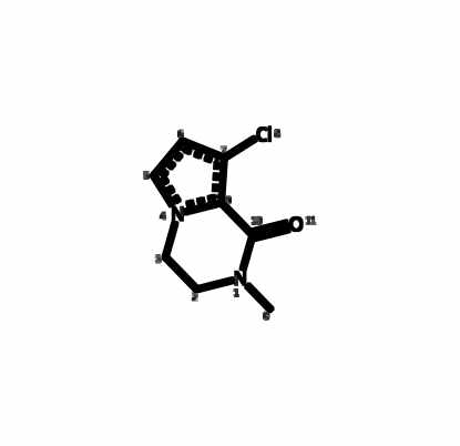 CN1CCn2ccc(Cl)c2C1=O